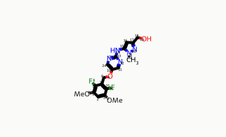 COc1cc(OC)c(F)c(COc2cnc(Nc3cc(CO)nn3C)nc2)c1F